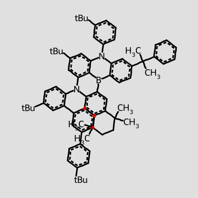 CC(C)(C)c1ccc(-c2cccc(-c3cc(C(C)(C)C)ccc3N3c4cc5c(cc4B4c6ccc(C(C)(C)c7ccccc7)cc6N(c6cccc(C(C)(C)C)c6)c6cc(C(C)(C)C)cc3c64)C(C)(C)CCC5(C)C)c2)cc1